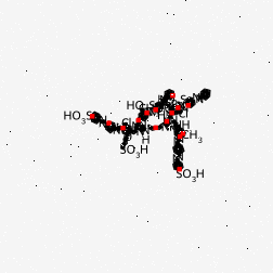 CCCOc1cc(N=Nc2ccc(N=Nc3ccccc3)cc2S(=O)(=O)O)c(Cl)cc1Nc1nc(NCCCCCNc2nc(Cc3ccc(N=Nc4ccc(N=Nc5ccccc5)cc4S(=O)(=O)O)c(C)c3)nc(Cc3cc(Cl)c(N=Nc4ccc(N=Nc5ccc(S(=O)(=O)O)cc5)cc4)cc3OCCCS(=O)(=O)O)n2)nc(Nc2ccc(N=Nc3ccc(N=Nc4ccc(S(=O)(=O)O)cc4)cc3)c(C)c2)n1